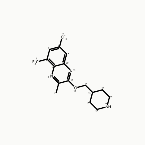 Cc1nc2c(C(F)(F)F)cc(C(F)(F)F)cc2nc1OCC1CCNCC1